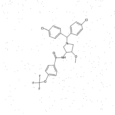 COC1CN(C(c2ccc(Cl)cc2)c2ccc(Cl)cc2)CC1NC(=O)c1ccc(OC(F)(F)F)cc1